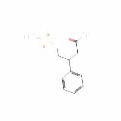 NC(=O)CC(COS(N)(=O)=O)c1ccccc1